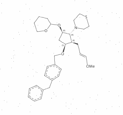 COC=CC[C@@H]1[C@@H](N2CCSCC2)[C@H](OC2CCCCO2)C[C@@H]1OCc1ccc(Cc2ccccc2)cc1